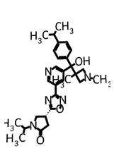 CC(C)c1ccc(C(O)(c2cncc(-c3noc([C@@H]4CC(=O)N(C(C)C)C4)n3)c2)C2(C)CN(C)C2)cc1